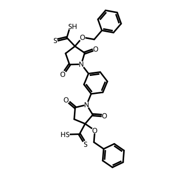 O=C1CC(OCc2ccccc2)(C(=S)S)C(=O)N1c1cccc(N2C(=O)CC(OCc3ccccc3)(C(=S)S)C2=O)c1